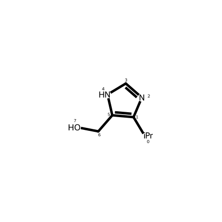 CC(C)c1nc[nH]c1CO